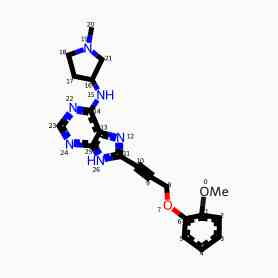 COc1ccccc1OCC#Cc1nc2c(NC3CCN(C)C3)ncnc2[nH]1